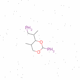 CC(CP)C1OC(P)OCC1C